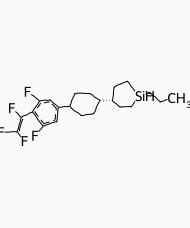 CCC[Si@H]1CC[C@H](C2CCC(c3cc(F)c(C(F)=C(F)F)c(F)c3)CC2)CC1